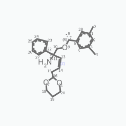 Cc1cc(C)cc([C@@H](C)OC[C@](N)(/C=C\CC2OCCCO2)c2ccccc2)c1